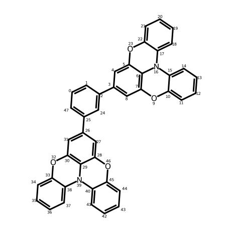 c1cc(-c2cc3c4c(c2)Oc2ccccc2N4c2ccccc2O3)cc(-c2cc3c4c(c2)Oc2ccccc2N4c2ccccc2O3)c1